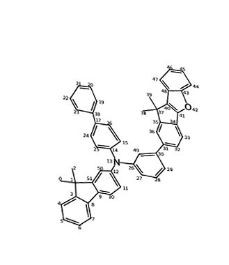 CC1(C)c2ccccc2-c2ccc(N(c3ccc(-c4ccccc4)cc3)c3cccc(-c4ccc5c(c4)C(C)(C)c4c-5oc5ccccc45)c3)cc21